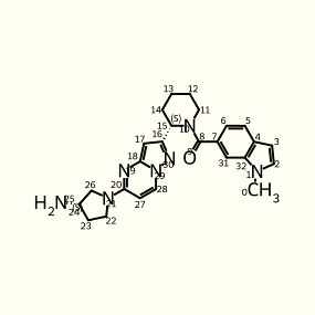 Cn1ccc2ccc(C(=O)N3CCCC[C@H]3c3cc4nc(N5CC[C@H](N)C5)ccn4n3)cc21